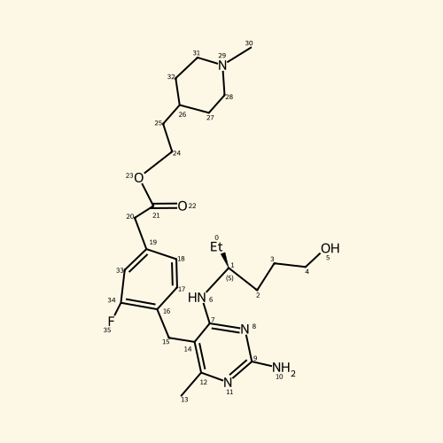 CC[C@@H](CCCO)Nc1nc(N)nc(C)c1Cc1ccc(CC(=O)OCCC2CCN(C)CC2)cc1F